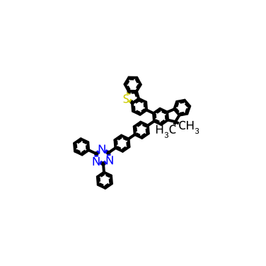 CC1(C)c2ccccc2-c2cc(-c3ccc4sc5ccccc5c4c3)c(-c3ccc(-c4ccc(-c5nc(-c6ccccc6)nc(-c6ccccc6)n5)cc4)cc3)cc21